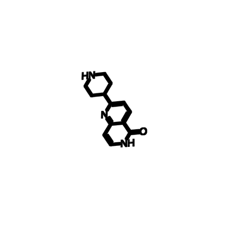 O=c1[nH]ccc2nc(C3CCNCC3)ccc12